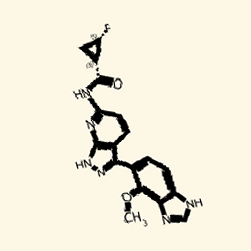 COc1c(-c2n[nH]c3nc(NC(=O)[C@@H]4C[C@@H]4F)ccc23)ccc2[nH]cnc12